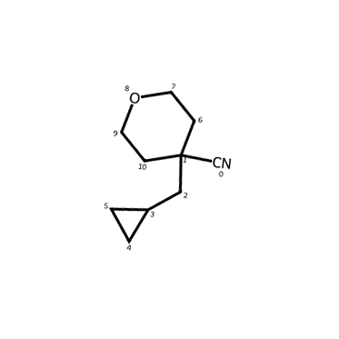 N#CC1(CC2CC2)CCOCC1